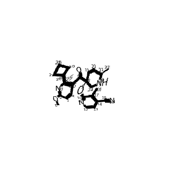 COc1ccc(C(=O)[C@@]2(Oc3nccc(C#N)c3C)CC[C@@H](C)NC2)c(C2CCC2)n1